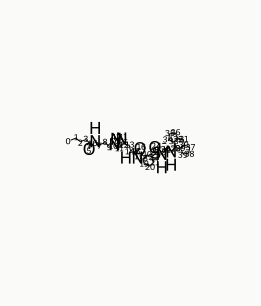 CCCCC(=O)NCCCn1cc(CCC(=O)Nc2cccc([S+]([O-])NCNc3c4c(cc5c3CCC5)CCC4)c2)nn1